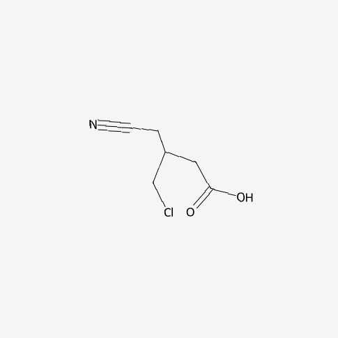 N#CCC(CCl)CC(=O)O